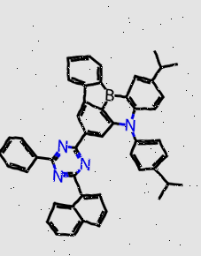 CC(C)c1ccc(N2c3ccc(C(C)C)cc3B3c4ccccc4-c4cc(-c5nc(-c6ccccc6)nc(-c6cccc7ccccc67)n5)cc2c43)cc1